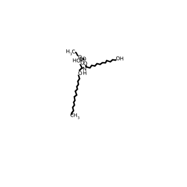 CCCCCCCCCCCCCCCCOCC(COP(=O)(O)OCCC)NC(=O)CCCCCCCCCCCO